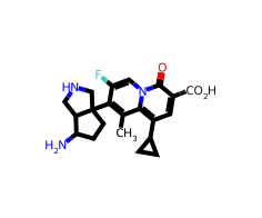 Cc1c(C23CCC(N)C2CNC3)c(F)cn2c(=O)c(C(=O)O)cc(C3CC3)c12